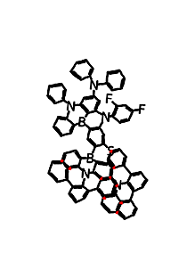 Fc1ccc(N2c3cc4c(cc3B3c5ccccc5N(c5ccccc5)c5cc(N(c6ccccc6)c6ccccc6)cc2c53)B2c3ccccc3N(c3c(-c5ccccc5)cccc3-c3ccccc3)c3cc(N(c5ccccc5)c5c(-c6ccccc6)cccc5-c5ccccc5)cc(c32)S4)c(F)c1